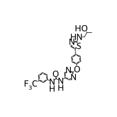 CC(O)CNc1ncc(-c2ccc(Oc3ncc(NC(=O)Nc4cccc(C(F)(F)F)c4)cn3)cc2)s1